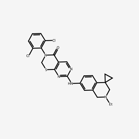 CCN1Cc2cc(Nc3ncc4c(n3)SCN(c3c(Cl)cccc3Cl)C4=O)ccc2C2(CC2)C1